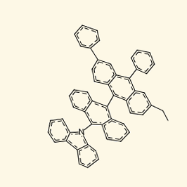 CCc1ccc2c(-c3c4ccccc4c(-n4c5ccccc5c5ccccc54)c4ccccc34)c3ccc(-c4ccccc4)cc3c(-c3ccccc3)c2c1